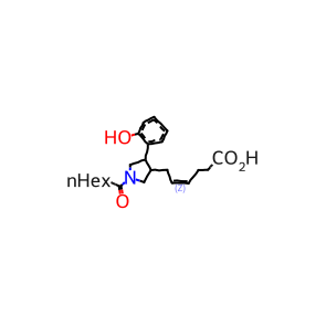 CCCCCCC(=O)N1CC(C/C=C\CCC(=O)O)C(c2ccccc2O)C1